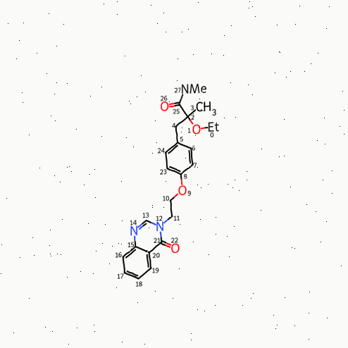 CCOC(C)(Cc1ccc(OCCn2cnc3ccccc3c2=O)cc1)C(=O)NC